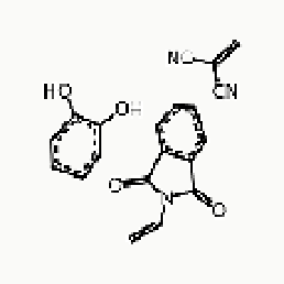 C=C(C#N)C#N.C=CN1C(=O)c2ccccc2C1=O.Oc1ccccc1O